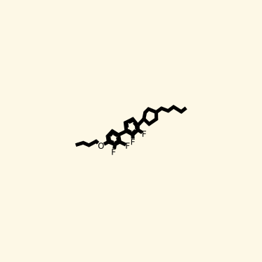 CCCCCC1CCC(c2ccc(-c3ccc(OCCCC)c(F)c3F)c(F)c2F)CC1